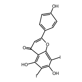 O=c1cc(-c2ccc(O)cc2)oc2c(I)c(O)c(I)c(O)c12